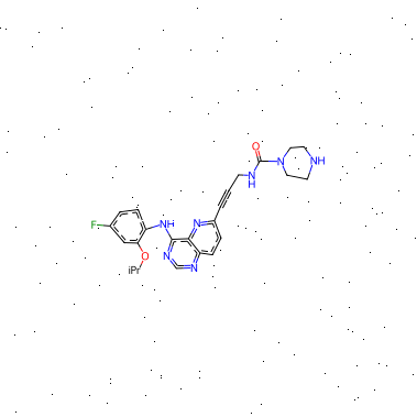 CC(C)Oc1cc(F)ccc1Nc1ncnc2ccc(C#CCNC(=O)N3CCNCC3)nc12